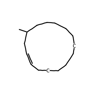 CC1C/C=C\CCCCCCCCCCC1